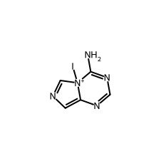 NC1=NC=NC2=CN=C[N+]21I